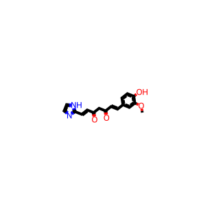 COc1cc(/C=C/C(=O)CC(=O)/C=C/c2ncc[nH]2)ccc1O